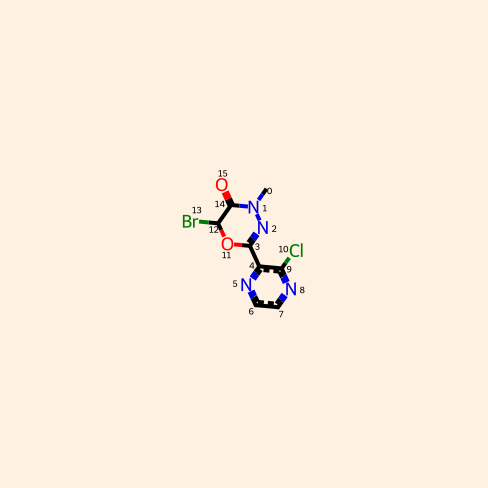 CN1N=C(c2nccnc2Cl)OC(Br)C1=O